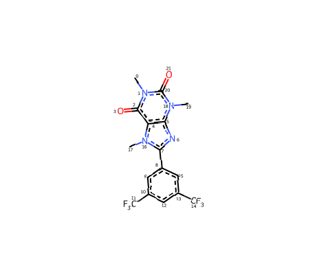 Cn1c(=O)c2c(nc(-c3cc(C(F)(F)F)cc(C(F)(F)F)c3)n2C)n(C)c1=O